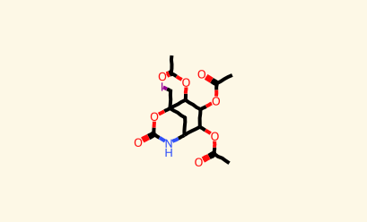 CC(=O)OC1C2CC(CI)(OC(=O)N2)C(OC(C)=O)C1OC(C)=O